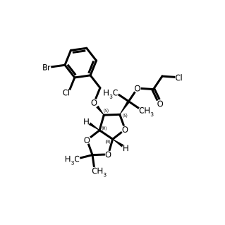 CC1(C)O[C@H]2O[C@H](C(C)(C)OC(=O)CCl)[C@H](OCc3cccc(Br)c3Cl)[C@H]2O1